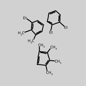 CCc1cccc(C)c1C.CCc1ccccc1CC.Cc1ccc(C)c(C)c1C